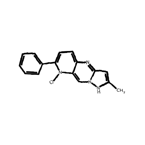 CC1=CC2=NC3=CC=C(c4ccccc4)N(Cl)C3=CN2N1